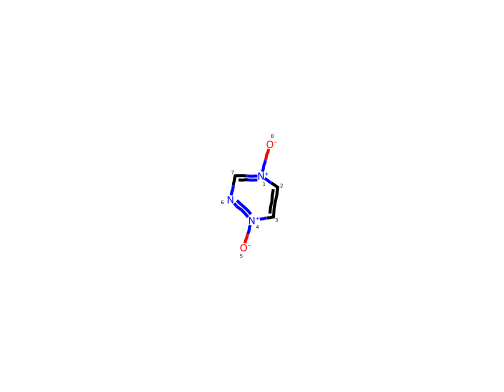 [O-][n+]1cc[n+]([O-])nc1